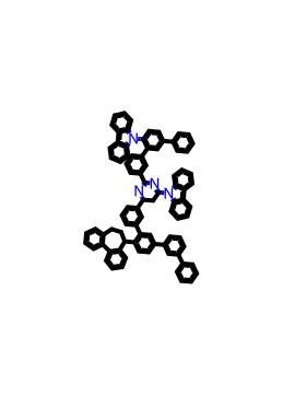 c1ccc(-c2cccc(-c3ccc(C4CCc5ccccc5-c5ccccc54)c(-c4cccc(C5CC(n6c7ccccc7c7ccccc76)=NC(c6cccc(-c7cc(-c8ccccc8)ccc7-n7c8ccccc8c8ccccc87)c6)=N5)c4)c3)c2)cc1